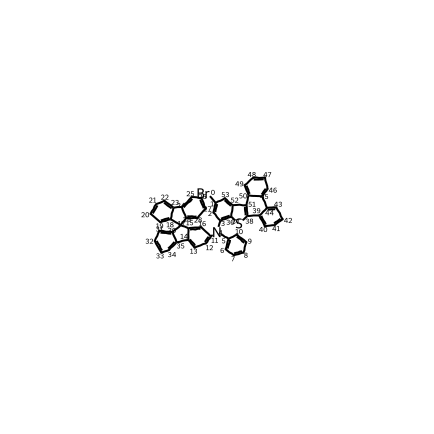 Brc1cc(N(c2ccccc2)c2ccc3c(c2)C2(c4ccccc4-c4ccccc42)c2ccccc2-3)c2sc3c4ccccc4c4ccccc4c3c2c1